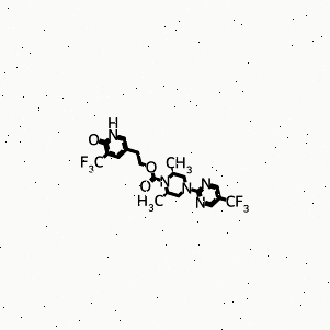 C[C@@H]1CN(c2ncc(C(F)(F)F)cn2)C[C@@H](C)N1C(=O)OCCc1c[nH]c(=O)c(C(F)(F)F)c1